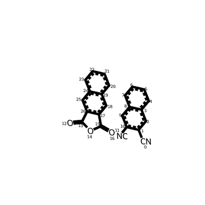 N#Cc1cc2ccccc2cc1C#N.O=C1OC(=O)c2cc3ccccc3cc21